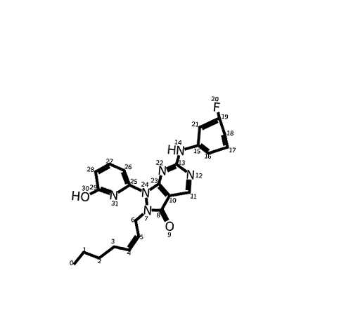 CCCC/C=C\Cn1c(=O)c2cnc(Nc3cccc(F)c3)nc2n1-c1cccc(O)n1